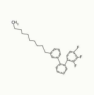 CCCCCCCCCCc1cccc(-c2ccccc2-c2ccc(F)c(F)c2F)c1